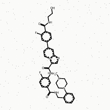 CN1CCN(c2ccccc2CNC(=O)c2ccc(F)c(NC(=O)c3cnc4cc(-c5ccc(C(=O)NCCO)c(F)c5)ccn34)c2)CC1